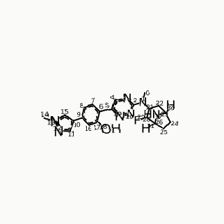 CN(c1ncc(-c2ccc(-c3cnn(C)c3)cc2O)nn1)[C@H]1C[C@@H]2CC[C@@H](N2)[C@H]1F